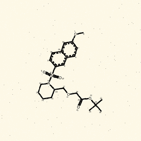 COc1ccc2cc(S(=O)(=O)N3CCCCC3COCC(=O)OC(C)(C)C)ccc2c1